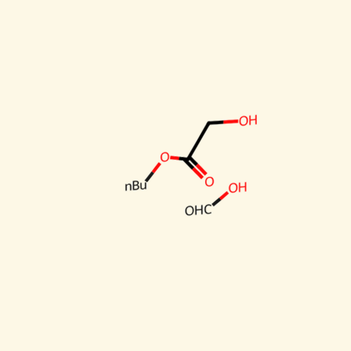 CCCCOC(=O)CO.O=CO